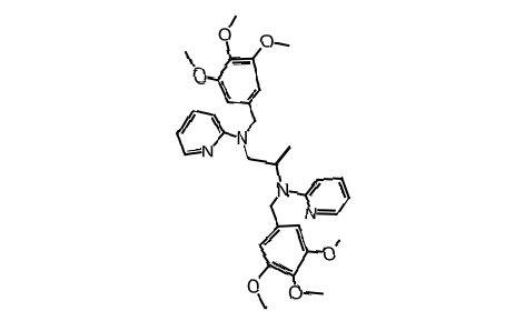 COc1cc(CN(CC(C)N(Cc2cc(OC)c(OC)c(OC)c2)c2ccccn2)c2ccccn2)cc(OC)c1OC